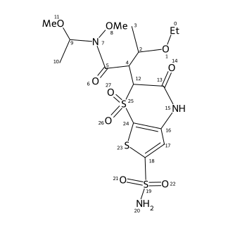 CCOC(C)C(C(=O)N(OC)C(C)OC)C1C(=O)Nc2cc(S(N)(=O)=O)sc2S1(=O)=O